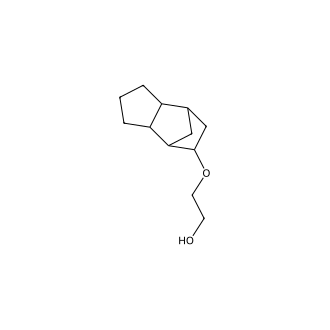 OCCOC1CC2CC1C1CCCC21